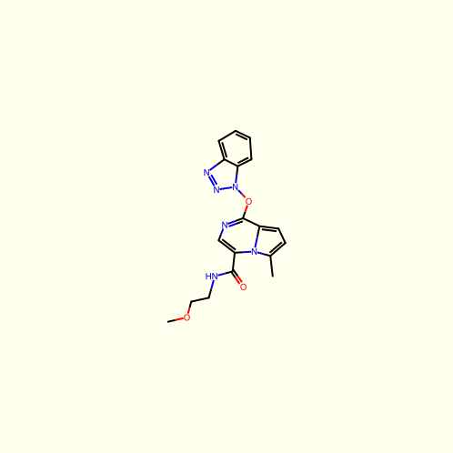 COCCNC(=O)c1cnc(On2nnc3ccccc32)c2ccc(C)n12